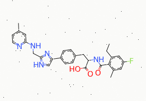 CCc1cc(F)cc(C)c1C(=O)NC(Cc1ccc(-c2c[nH]c(CNc3cc(C)ccn3)n2)cc1)C(=O)O